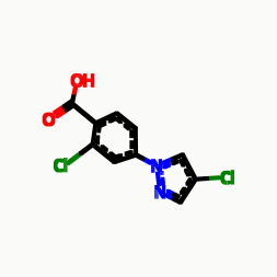 O=C(O)c1ccc(-n2cc(Cl)cn2)cc1Cl